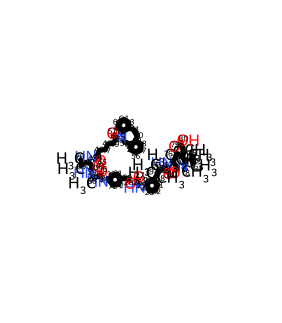 C/C(=C\[C@H](C(C)C)N(C)C(=O)[C@@H](NC(=O)[C@H](C)C(C)(C)c1cccc(NC(=O)OCc2ccc(NC(=O)[C@H](C)NC(=O)[C@@H](NC(=O)CCCCC(=O)N3Cc4ccccc4/C=C\c4ccccc43)C(C)C)cc2)c1)C(C)(C)C)C(=O)O